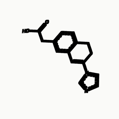 O=C(O)Cc1ccc2c(c1)C=C(n1ccnc1)CC2